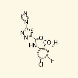 O=C(Nc1cc(Cl)c(F)cc1C(=O)O)c1nnc(-n2ccnc2)s1